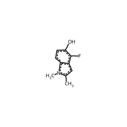 Cc1cc2c(F)c(O)ccc2n1C